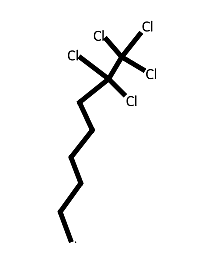 [CH2]CCCCCC(Cl)(Cl)C(Cl)(Cl)Cl